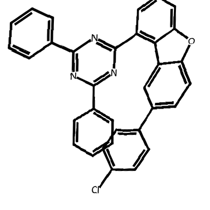 Clc1ccc(-c2ccc3oc4cccc(-c5nc(-c6ccccc6)nc(-c6ccccc6)n5)c4c3c2)cc1